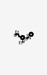 CCOc1cc(CCC(=O)CC)ccc1Oc1nc2ccccc2s1